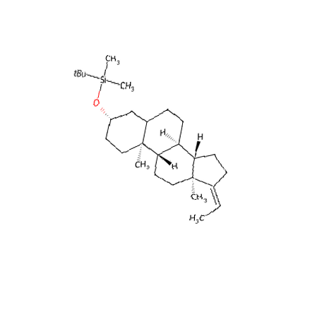 C/C=C1/CC[C@H]2[C@@H]3CCC4C[C@@H](O[Si](C)(C)C(C)(C)C)CC[C@]4(C)[C@H]3CC[C@]12C